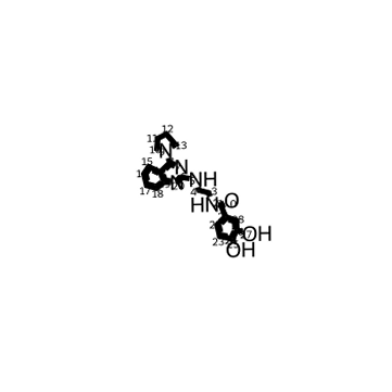 O=C(NCCNc1nc(N2CCCC2)c2ccccc2n1)c1ccc(O)c(O)c1